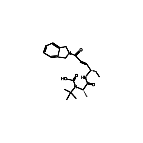 CC[C@@H](C=CC(=O)N1Cc2ccccc2C1)NC(=O)[C@H](C)N(C(=O)O)C(C)(C)C